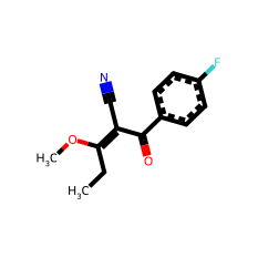 CC/C(OC)=C(/C#N)C(=O)c1ccc(F)cc1